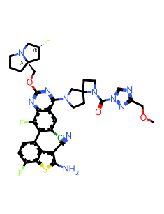 COCc1ncn(C(=O)N2CCC23CCN(c2nc(OC[C@@]45CCCN4C[C@H](F)C5)nc4c(F)c(-c5ccc(F)c6sc(N)c(C#N)c56)c(Cl)cc24)C3)n1